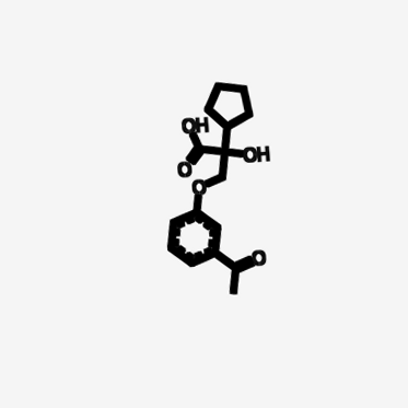 CC(=O)c1cccc(OCC(O)(C(=O)O)C2CCCC2)c1